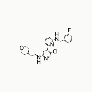 Fc1cccc(CNc2cccc(-c3cc(NCCC4CCOCC4)ncc3Cl)n2)c1